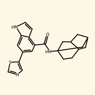 O=C(NC12CCC3CC(CC3C1)C2)c1cc(-c2cncs2)cc2[nH]ccc12